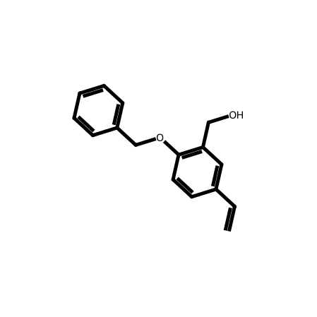 C=Cc1ccc(OCc2ccccc2)c(CO)c1